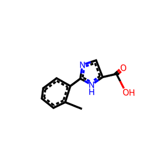 Cc1ccccc1-c1ncc(C(=O)O)[nH]1